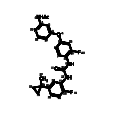 CC(=O)Nc1cc(Oc2ccc(NC(=O)Nc3cc(C4(C)CC4)ccc3F)c(F)c2)ccn1